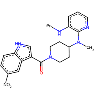 CC(C)Nc1cccnc1N(C)C1CCN(C(=O)c2c[nH]c3ccc([N+](=O)[O-])cc23)CC1